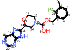 Cc1cccc(COC(O)N2CCO[C@H](c3nc4cncnc4[nH]3)C2)c1F